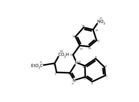 CCOC(=O)C(Cc1nc2ccccc2n1Cc1ccc([N+](=O)[O-])cc1)C(=O)O